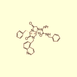 CCCN(C(=O)NCc1ccccc1)N1CC(=O)N2[C@@H](Cc3ccccc3)C(=O)N(Cc3cccc4ncccc34)C[C@@H]21